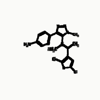 CC(c1cc(Cl)sc1Cl)N(C(=O)O)c1c(-c2ccc(N)cn2)nnn1C